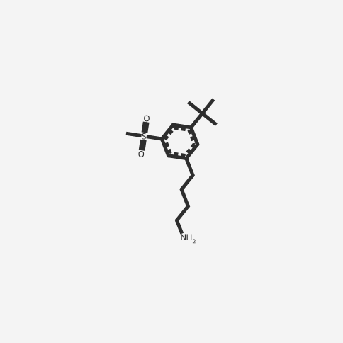 CC(C)(C)c1cc(CCCCN)cc(S(C)(=O)=O)c1